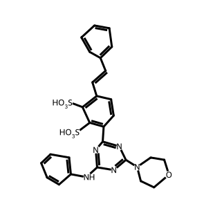 O=S(=O)(O)c1c(C=Cc2ccccc2)ccc(-c2nc(Nc3ccccc3)nc(N3CCOCC3)n2)c1S(=O)(=O)O